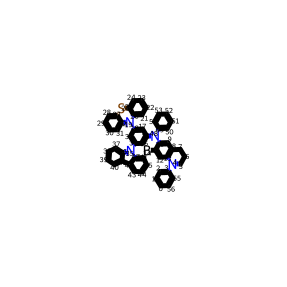 c1ccc(N2CCCc3cc4c(cc32)B2c3c(cc(N5c6ccccc6Sc6ccccc65)cc3-n3c5ccccc5c5cccc2c53)N4c2ccccc2)cc1